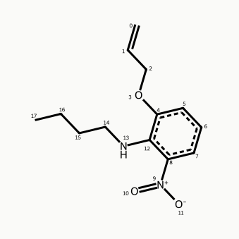 C=CCOc1cccc([N+](=O)[O-])c1NCCCC